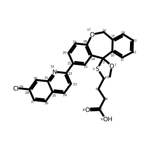 COC1(SCCCC(=O)O)c2ccccc2COc2ccc(-c3ccc4ccc(Cl)cc4n3)cc21